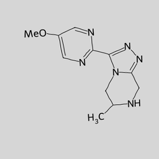 COc1cnc(-c2nnc3n2CC(C)NC3)nc1